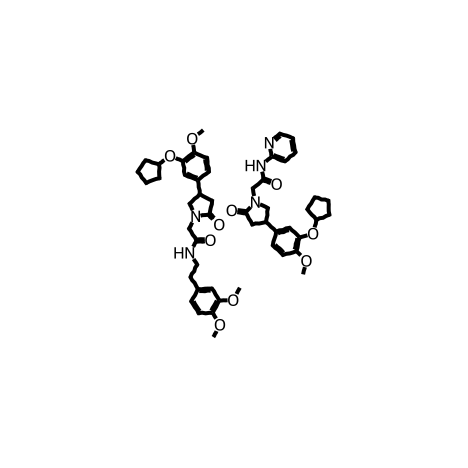 COc1ccc(C2CC(=O)N(CC(=O)Nc3ccccn3)C2)cc1OC1CCCC1.COc1ccc(CCNC(=O)CN2CC(c3ccc(OC)c(OC4CCCC4)c3)CC2=O)cc1OC